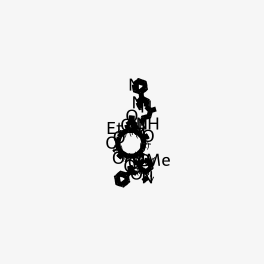 CC[C@H]1OC(=O)[C@H](C)C(=O)[C@H](C)[C@@H](OC2O[C@H](C)C[C@H](N(C)C)[C@H]2OC(=O)c2ccccc2)[C@@](C)(OC)C[C@@H](C)C(=O)[C@H](C)[C@@H]2C1OC(=O)N2NCCC(C)n1cnc(-c2cccnc2)c1